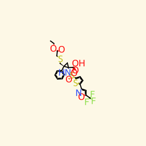 CCOC(=O)CSC[C@@]1(c2ccccc2)C[C@]1(NS(=O)(=O)c1ccc(-c2cc(C(F)(F)F)on2)s1)C(=O)O